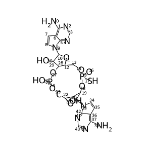 Nc1ncnc2c1ccn2C1OC2COP(=O)(S)OC3C(O)C(COP(O)OC2C1O)OC3n1ccc2c(N)ncnc21